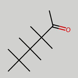 CC(=O)C(C)(C)C(C)(C)C(C)(C)C